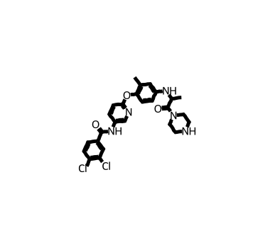 Cc1cc(NC(C)C(=O)N2CCNCC2)ccc1Oc1ccc(NC(=O)c2ccc(Cl)c(Cl)c2)cn1